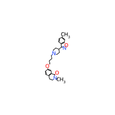 Cc1ccc2c(C3CCN(CCCCOc4ccc5c(c4)C(=O)N(C)CC5)CC3)noc2c1